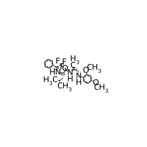 COc1ccc(NC[C@H](C)NC(=O)[C@H](CC(C)C)N[C@@H](c2ccccc2)C(F)(F)F)c(OC)c1